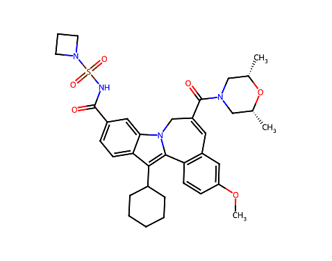 COc1ccc2c(c1)C=C(C(=O)N1C[C@@H](C)O[C@@H](C)C1)Cn1c-2c(C2CCCCC2)c2ccc(C(=O)NS(=O)(=O)N3CCC3)cc21